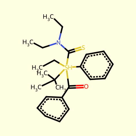 CCN(CC)C(=S)[SH](CC)(C(=O)c1ccccc1)(c1ccccc1)C(C)(C)C